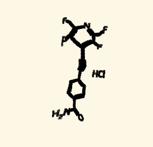 Cl.NC(=O)c1ccc(C#Cc2c(F)c(F)nc(F)c2F)cc1